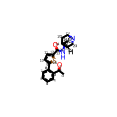 CC(=O)c1ccccc1-c1ccc(C(=O)N[C@H]2CN3CCC2CC3)s1